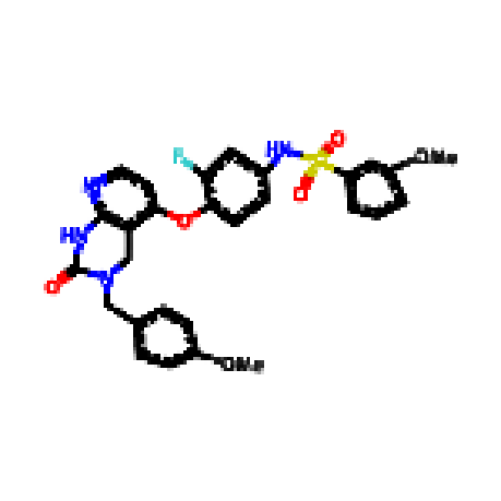 COc1ccc(CN2Cc3c(Oc4ccc(NS(=O)(=O)c5cccc(OC)c5)cc4F)ccnc3NC2=O)cc1